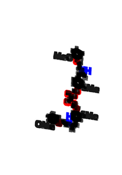 COc1ccccc1OCCNC(C)Cc1ccc(OCOC(=O)C(=O)OCOc2ccc(CC(C)NCCOc3ccccc3OC)cc2SC)c(SC)c1